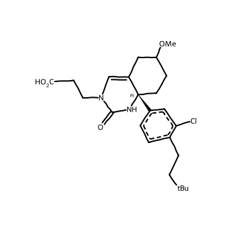 COC1CC[C@]2(c3ccc(CCC(C)(C)C)c(Cl)c3)NC(=O)N(CCC(=O)O)C=C2C1